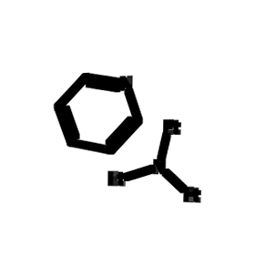 CCN(CC)CC.c1ccncc1